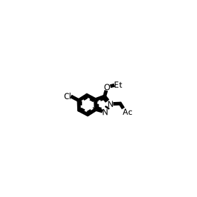 CCOc1c2cc(Cl)ccc2nn1CC(C)=O